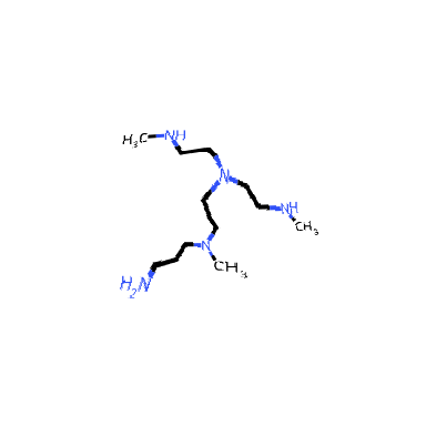 CNCCN(CCNC)CCN(C)CCCN